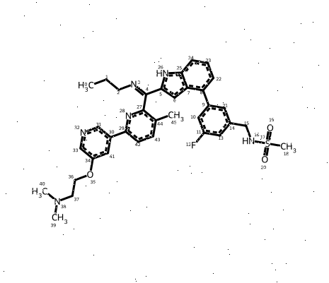 CCC/N=C(/c1cc2c(-c3cc(F)cc(CNS(C)(=O)=O)c3)cccc2[nH]1)c1nc(-c2cncc(OCCN(C)C)c2)ccc1C